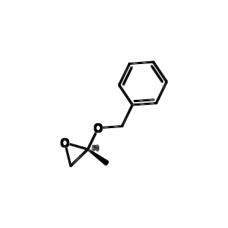 C[C@@]1(OCc2ccccc2)CO1